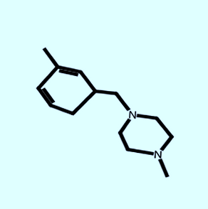 CC1=CC(CN2CCN(C)CC2)CC=C1